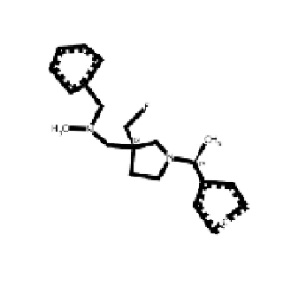 C[C@@H](c1ccccc1)N1CC[C@](CF)(CN(C)Cc2ccccc2)C1